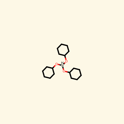 C1CCC(O[SiH](OC2CCCCC2)OC2CCCCC2)CC1